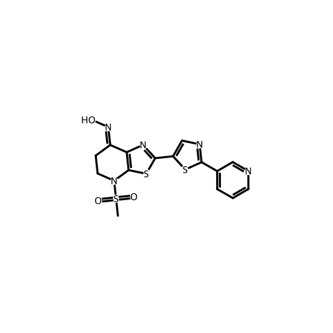 CS(=O)(=O)N1CC/C(=N\O)c2nc(-c3cnc(-c4cccnc4)s3)sc21